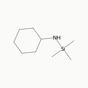 C[Si](C)(C)NC1CCCCC1